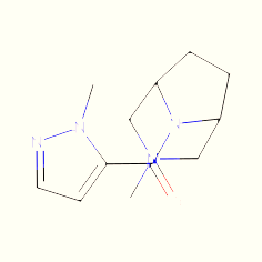 CN1CC2CCC(C1)N2C(=O)c1ccnn1C